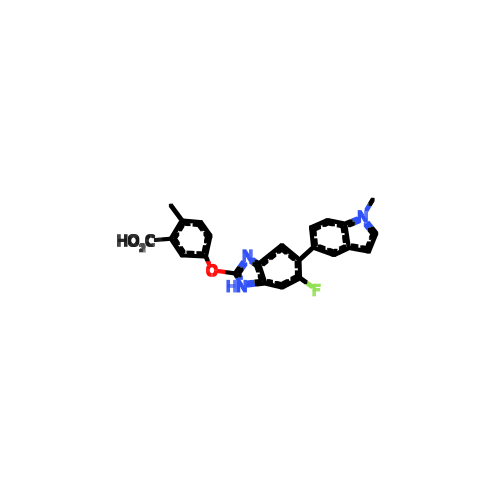 Cc1ccc(Oc2nc3cc(-c4ccc5c(ccn5C)c4)c(F)cc3[nH]2)cc1C(=O)O